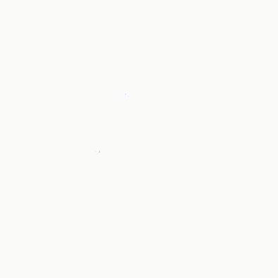 COc1cc2ccccc2cc1CCN